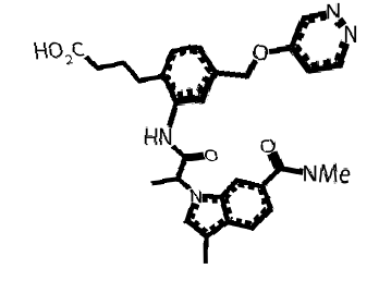 CNC(=O)c1ccc2c(C)cn(C(C)C(=O)Nc3cc(COc4ccnnc4)ccc3CCCC(=O)O)c2c1